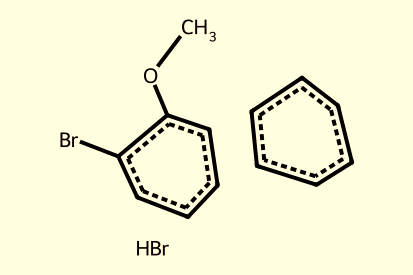 Br.COc1ccccc1Br.c1ccccc1